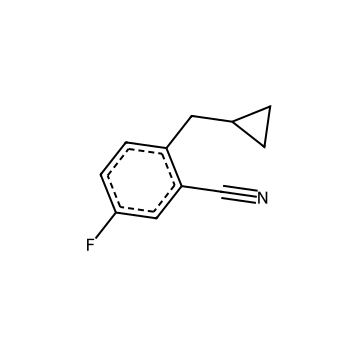 N#Cc1cc(F)ccc1CC1CC1